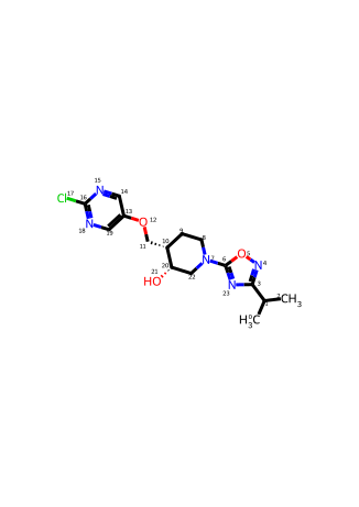 CC(C)c1noc(N2CC[C@@H](COc3cnc(Cl)nc3)[C@@H](O)C2)n1